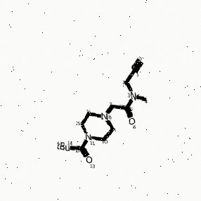 C#CCN(C)C(=O)CN1CCN(C(=O)C(C)(C)C)CC1